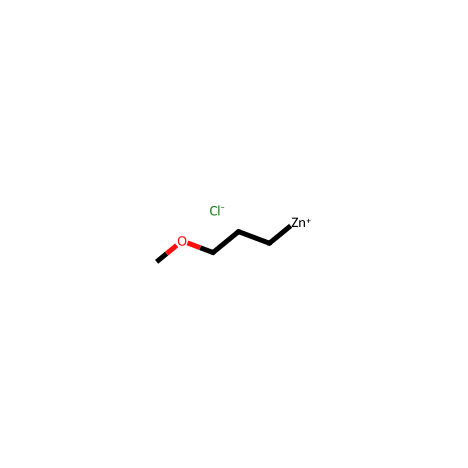 COCC[CH2][Zn+].[Cl-]